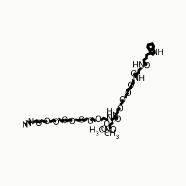 CON(C)C(=O)CC[C@@H](NC(=O)CCOCCOCCOCCOCCOCCOCCOCCOCCN=[N+]=[N-])C(=O)NCCOCCOCCOCCOCCNC(=O)CCCNC(=O)CCCc1c[nH]c2ccccc12